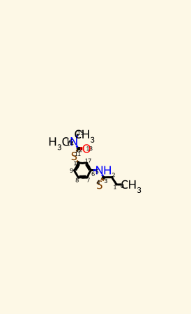 CCCC(=S)Nc1cccc(SC(=O)N(C)C)c1